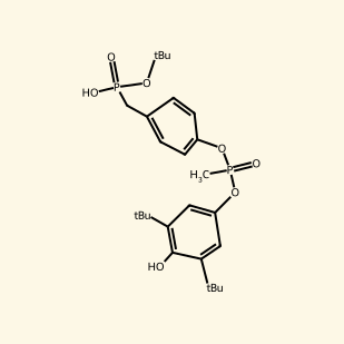 CC(C)(C)OP(=O)(O)Cc1ccc(OP(C)(=O)Oc2cc(C(C)(C)C)c(O)c(C(C)(C)C)c2)cc1